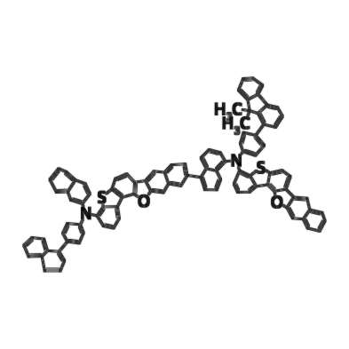 CC1(C)c2ccccc2-c2cccc(-c3ccc(N(c4cccc5c(-c6ccc7cc8c(cc7c6)oc6c8ccc7sc8c(N(c9ccc(-c%10cccc%11ccccc%10%11)cc9)c9ccc%10ccccc%10c9)cccc8c76)cccc45)c4cccc5c4sc4ccc6c7cc8ccccc8cc7oc6c45)cc3)c21